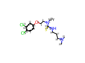 CC(C)N(CCOc1ccc(Cl)c(Cl)c1)C(=S)NCCCN(C)C